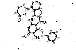 Cc1c(O)cc(O)c(C(=O)N2Cc3cccc(N4CCCC(O)C4)c3C2)c1OCc1ccccc1